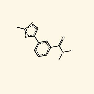 Cc1nc(-c2cccc(C(=O)N(C)C)c2)cs1